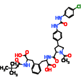 CC(=O)N1CC(c2ccc(NC(=O)Nc3ccc(Cl)cc3)cc2)CC1C(=O)NC(Cc1ccccc1CC(NC(=O)CC(C)(C)C)C(=O)O)C(=O)O